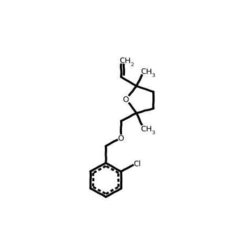 C=CC1(C)CCC(C)(COCc2ccccc2Cl)O1